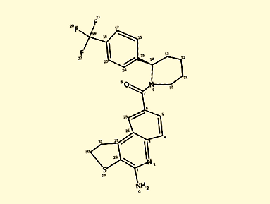 Nc1nc2ccc(C(=O)N3CCCC[C@@H]3c3ccc(C(F)(F)F)cc3)cc2c2c1SCC2